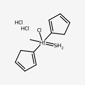 Cl.Cl.[CH3][Hf](=[SiH2])([Cl])([C]1=CC=CC1)[C]1=CC=CC1